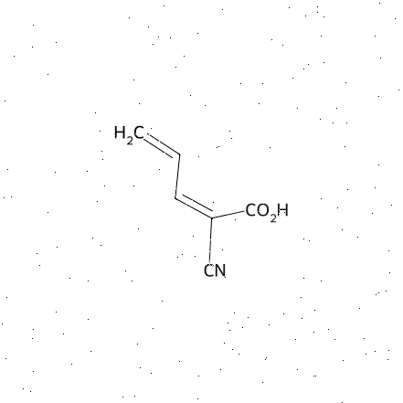 C=CC=C(C#N)C(=O)O